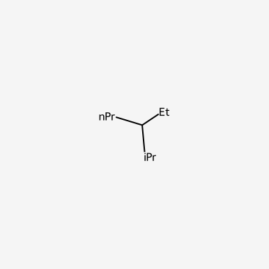 [CH2]C(C)C(CC)CCC